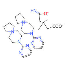 CC(C)(CC(=N)[O-])CC(=O)[O-].c1cnc(N2CC[N+]3(CCCC3)CC2)nc1.c1cnc(N2CC[N+]3(CCCC3)CC2)nc1